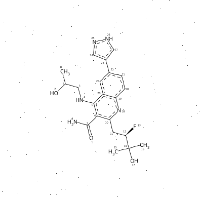 CC(O)CNc1c(C(N)=O)c(C[C@@H](F)C(C)(C)O)nc2ccc(-c3cn[nH]c3)cc12